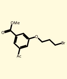 COC(=O)c1cc(OCCCBr)cc(C(C)=O)c1